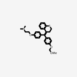 COCOc1ccc(C(=C2CCSc3ccccc32)c2ccc(OCCN(C)C)cc2)cc1